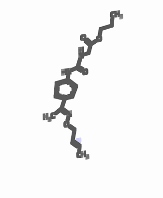 C/C=C/CON=C(C)c1ccc(NC(=O)NCC(=O)OCCC)cc1